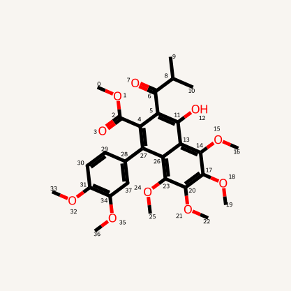 COC(=O)c1c(C(=O)C(C)C)c(O)c2c(OC)c(OC)c(OC)c(OC)c2c1-c1ccc(OC)c(OC)c1